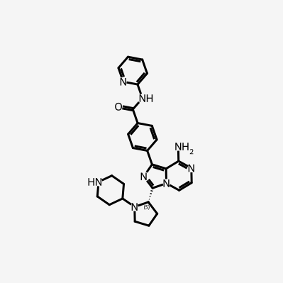 Nc1nccn2c([C@@H]3CCCN3C3CCNCC3)nc(-c3ccc(C(=O)Nc4ccccn4)cc3)c12